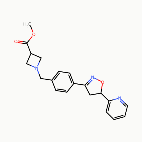 COC(=O)C1CN(Cc2ccc(C3=NOC(c4ccccn4)C3)cc2)C1